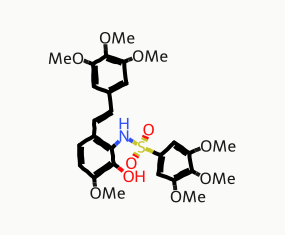 COc1ccc(C=Cc2cc(OC)c(OC)c(OC)c2)c(NS(=O)(=O)c2cc(OC)c(OC)c(OC)c2)c1O